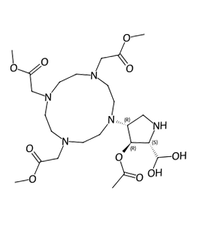 COC(=O)CN1CCN(CC(=O)OC)CCN([C@@H]2CN[C@H](C(O)O)[C@H]2OC(C)=O)CCN(CC(=O)OC)CC1